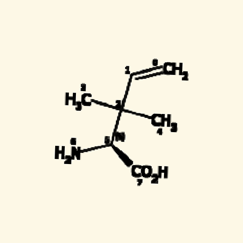 C=CC(C)(C)[C@H](N)C(=O)O